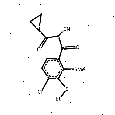 CCSc1c(Cl)ccc(C(=O)C(C#N)C(=O)C2CC2)c1SC